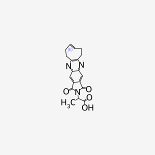 CC(C(=O)O)N1C(=O)c2cc3nc4c(nc3cc2C1=O)CC/C=C/CC4